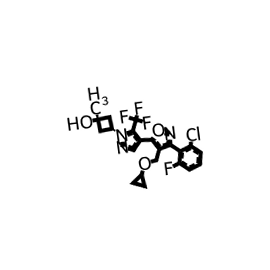 C[C@]1(O)C[C@@H](n2ncc(-c3onc(-c4c(F)cccc4Cl)c3COC3CC3)c2C(F)(F)F)C1